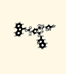 O=C(N[C@@H]1C[C@@H](C(=O)NC[C@@H]2CC(Br)=NO2)N(C(=O)OCc2cnc3ccccc3c2)C1)OCC1c2ccccc2-c2ccccc21